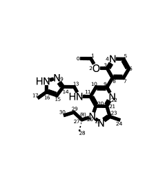 CCOc1ncccc1-c1cc(NCc2cc(C)[nH]n2)c2c(n1)c(C)nn2[C@H](C)CC